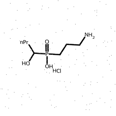 CCCC(O)P(=O)(O)CCCN.Cl